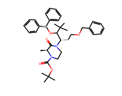 C[C@H]1C(=O)N([C@@H](CCOCc2ccccc2)C(O[SiH](c2ccccc2)c2ccccc2)C(C)(C)C)CCN1C(=O)OC(C)(C)C